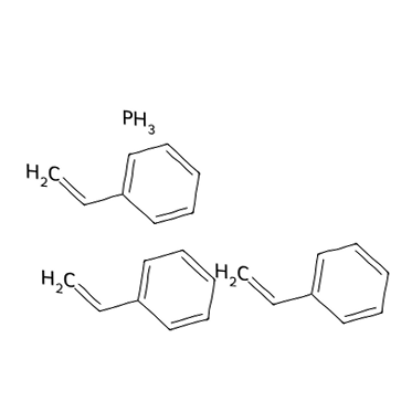 C=Cc1ccccc1.C=Cc1ccccc1.C=Cc1ccccc1.P